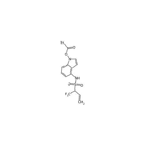 C=CC(C(F)(F)F)S(=O)(=O)Nc1cccc2c1ccn2OC(=O)CC